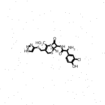 NC(C(=O)NC1C(=O)N2C(C(=O)O)=C(CSc3c[nH]nn3)CS[C@@H]12)c1ccc(O)c(Cl)c1